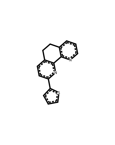 c1csc(-c2ccc3c(n2)-c2ncccc2CC3)c1